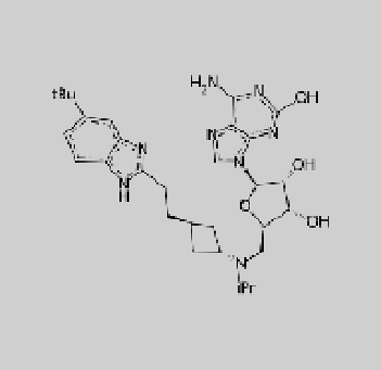 CC(C)N(C[C@H]1O[C@@H](n2cnc3c(N)nc(O)nc32)[C@H](O)[C@@H]1O)[C@H]1C[C@H](CCc2nc3cc(C(C)(C)C)ccc3[nH]2)C1